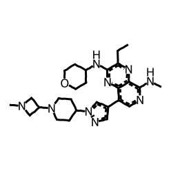 CCc1nc2c(NC)ncc(-c3cnn(C4CCN(C5CN(C)C5)CC4)c3)c2nc1NC1CCOCC1